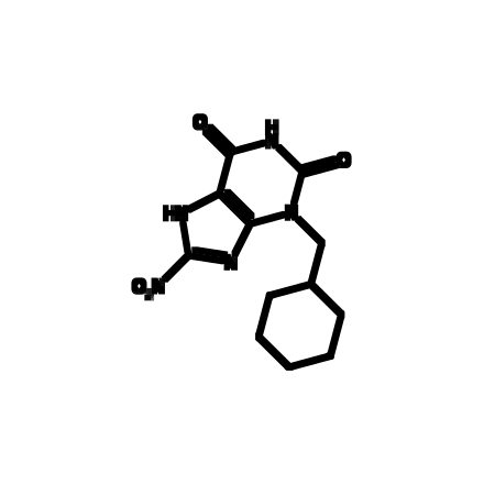 O=c1[nH]c(=O)n(CC2CCCCC2)c2nc([N+](=O)[O-])[nH]c12